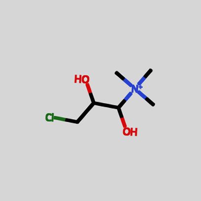 C[N+](C)(C)C(O)C(O)CCl